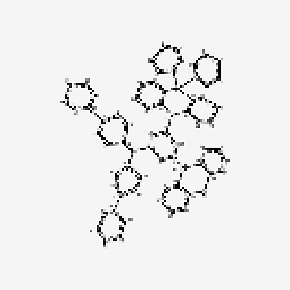 c1ccc(C2(c3ccccc3)c3ccccc3N(c3cc(N(c4ccc(-c5ccncc5)cc4)c4ccc(-c5ccncc5)cc4)cc(N4c5ccccc5Sc5ccccc54)n3)c3ccccc32)cc1